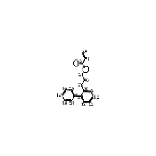 C=CC(=O)OCCCc1ccccc1-c1ccccc1